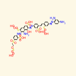 Nc1ccc(/N=N/c2ccc(/C=C/c3ccc(/N=N/c4c(S(=O)(=O)O)cc5cc(SOOO)c(/N=N/c6ccc(S(=O)(=O)CCOSOOO)cc6S(=O)(=O)O)c(N)c5c4O)cc3S(=O)(=O)O)c(SOOO)c2)c(N)c1